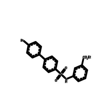 CCOC(=O)c1cccc(NS(=O)(=O)c2ccc(-c3ccc(Br)cc3)cc2)c1